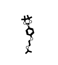 CC(C)OCCOc1ccc(B2OC(C)(C)C(C)(C)O2)cc1